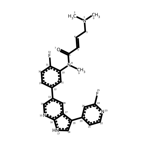 CN(C)C/C=C/C(=O)N(C)c1cc(-c2cnc3[nH]cc(-c4ccnc(F)c4)c3c2)ccc1F